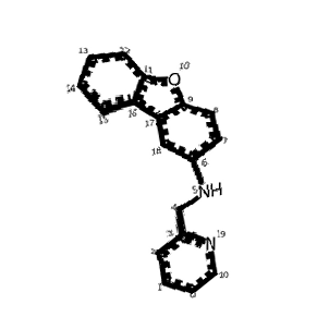 c1ccc(CNc2ccc3oc4ccccc4c3c2)nc1